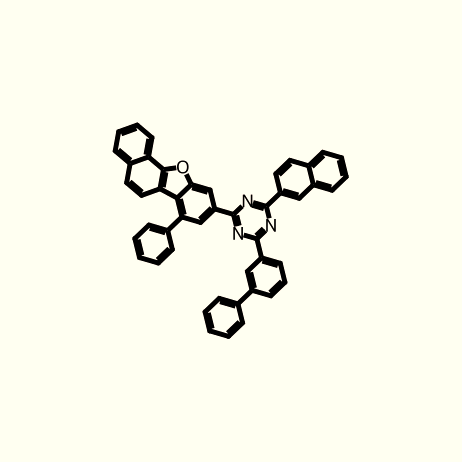 c1ccc(-c2cccc(-c3nc(-c4ccc5ccccc5c4)nc(-c4cc(-c5ccccc5)c5c(c4)oc4c6ccccc6ccc45)n3)c2)cc1